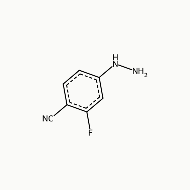 N#Cc1ccc(NN)cc1F